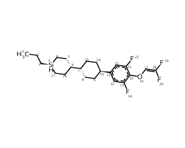 CCC[Si@H]1CC[C@H]([C@H]2CC[C@H](c3cc(F)c(OC=C(F)F)c(F)c3)CC2)CC1